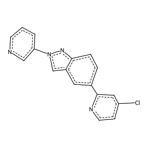 Clc1ccnc(-c2ccc3nn(-c4cccnc4)cc3c2)c1